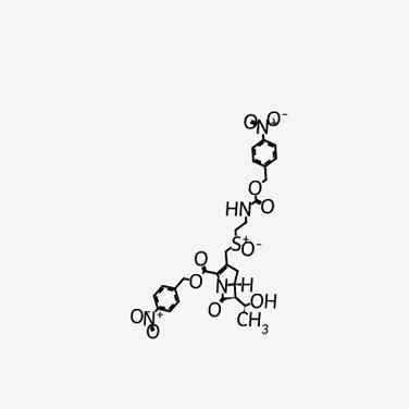 C[C@@H](O)[C@H]1C(=O)N2C(C(=O)OCc3ccc([N+](=O)[O-])cc3)=C(C[S+]([O-])CCNC(=O)OCc3ccc([N+](=O)[O-])cc3)C[C@H]12